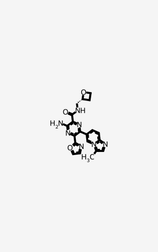 Cc1cnc2ccc(-c3nc(C(=O)NC[C@H]4CCO4)c(N)nc3-c3ncco3)cn12